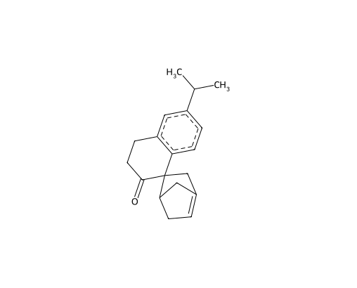 CC(C)c1ccc2c(c1)CCC(=O)C21CC2=CCC1C2